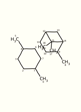 CC1CCC(C)CC1.CC1CCC2CC1C2(C)C